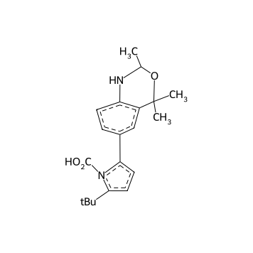 CC1Nc2ccc(-c3ccc(C(C)(C)C)n3C(=O)O)cc2C(C)(C)O1